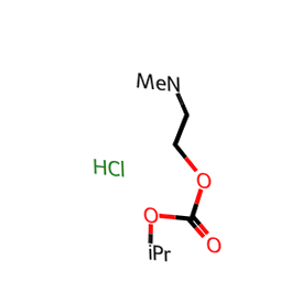 CNCCOC(=O)OC(C)C.Cl